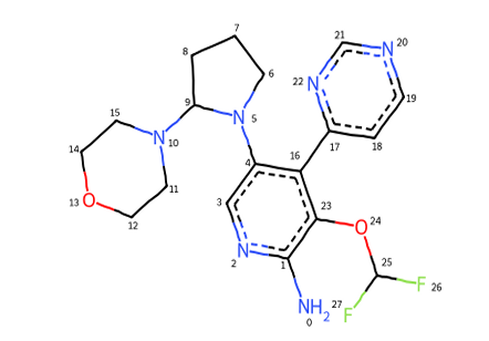 Nc1ncc(N2CCCC2N2CCOCC2)c(-c2ccncn2)c1OC(F)F